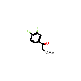 COCC(=O)c1ccc(F)c(F)c1